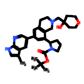 Cc1c[nH]c2ncc(-c3cc4c(c(C5CCCN5C(=O)OC(C)(C)C)c3)CN(CC3(O)CCOCC3)CC4)cc12